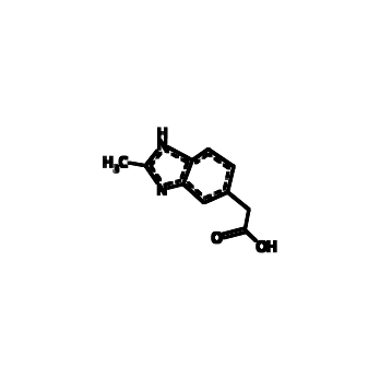 Cc1nc2cc(CC(=O)O)ccc2[nH]1